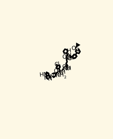 NC1(C(=O)N[C@@H](CCNS(=O)(=O)CCCCNC(=O)[C@H](NC(=O)c2cccc(C3CCCN(C(=O)C4CC4)C3)c2)C2CCCCC2)c2ccc(Cl)cc2)CCN(c2ncnc3[nH]ccc23)CC1